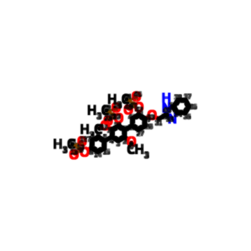 COc1cc(-c2ccc(OS(C)(=O)=O)cc2)c(OC)c(OS(C)(=O)=O)c1-c1ccc(OCc2nc3ccccc3[nH]2)c(OS(C)(=O)=O)c1